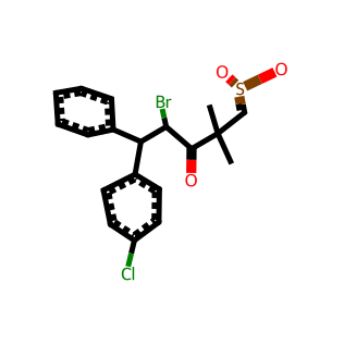 CC(C)(C=S(=O)=O)C(=O)C(Br)C(c1ccccc1)c1ccc(Cl)cc1